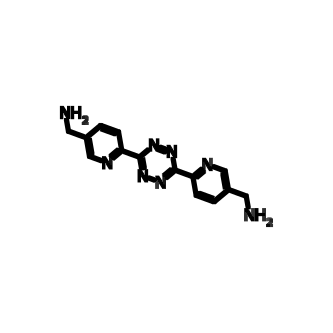 NCc1ccc(-c2nnc(-c3ccc(CN)cn3)nn2)nc1